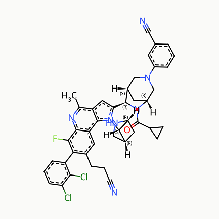 Cc1nc2c(F)c(-c3cccc(Cl)c3Cl)c(CCC#N)cc2c2c1cc([C@H]1[C@H]3C[C@H](CN(c4cccc(C#N)c4)C3)N1C(=O)C1CC1)n2[C@H]1[C@H]2CN[C@@H]1C2